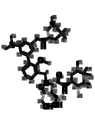 COc1c(CN2O[C@@H](CO)[C@H]([C@H](C)O)[C@H]2C(=O)N[C@H]2C[C@@H](C)C(C)(C)[C@@H](C)[C@@H]2C)cccc1-c1cc(CN[C@H](CN(C)C)CC(C)(C)C)cc(N(C)C)c1